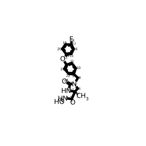 C[C@]1(C(=O)NO)CN(Cc2ccc(Oc3ccc(F)cc3)cc2)C(=O)N1